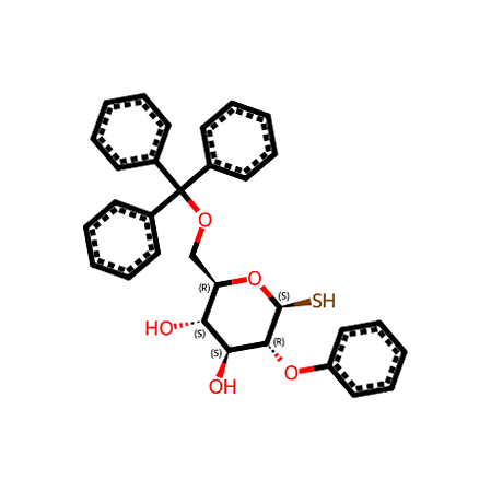 O[C@H]1[C@H](O)[C@@H](COC(c2ccccc2)(c2ccccc2)c2ccccc2)O[C@@H](S)[C@@H]1Oc1ccccc1